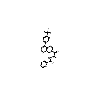 C[C@@H](NC(=O)c1ccccn1)C(=O)N1CCc2c(ncnc2-c2ccc(C(F)(F)F)cc2)C1